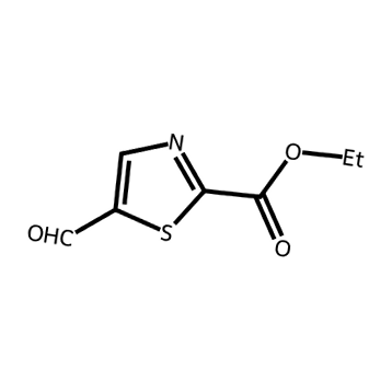 CCOC(=O)c1ncc(C=O)s1